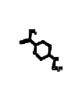 NC(=O)C1CCC(NC(=O)O)CO1